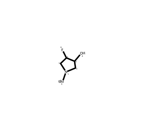 CC(C)(C)N1CC(O)C(F)C1